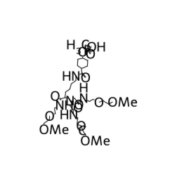 COCCOCCNC(=O)CN(CC(=O)NCCOCCOC)C(CCCCNC(=O)C1CCC(OP(C)(=O)O)CC1)C(=O)NCCOCCOC